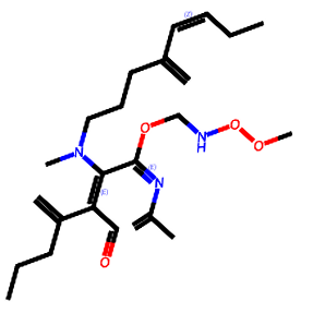 C=C(/C=C\CC)CCCN(C)C(/C(=N\C(=C)C)OCNOOC)=C(/C=O)C(=C)CCC